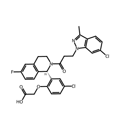 Cc1nn(CCC(=O)N2CCc3cc(F)ccc3[C@H]2c2cc(Cl)ccc2OCC(=O)O)c2cc(Cl)ccc12